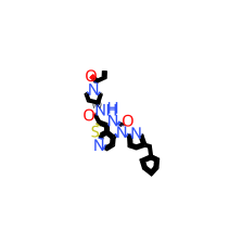 C=CC(=O)N1CC[C@@H](NC(=O)c2sc3nccc4c3c2NC(=O)N4c2ccc(Cc3ccccc3)cn2)C1